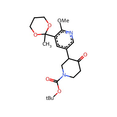 COc1ncc(C2CN(C(=O)OC(C)(C)C)CCC2=O)cc1C1(C)OCCCO1